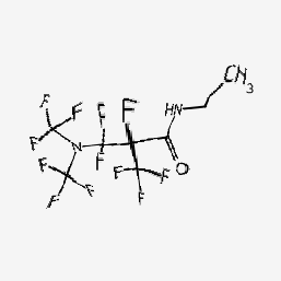 CCNC(=O)C(F)(C(F)(F)F)C(F)(F)N(C(F)(F)F)C(F)(F)F